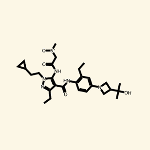 CCc1cc(N2CC(C(C)(C)O)C2)ccc1NC(=O)c1c(CC)nn(CCC2CC2)c1NC(=O)C[S+](C)[O-]